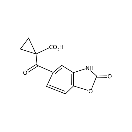 O=C(O)C1(C(=O)c2ccc3oc(=O)[nH]c3c2)CC1